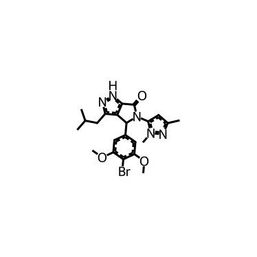 COc1cc(C2c3c(CC(C)C)n[nH]c3C(=O)N2c2cc(C)nn2C)cc(OC)c1Br